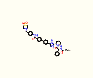 COC(=O)N[C@H](C(=O)N1CCCC[C@H]1c1ncc(-c2ccc(-c3ccc(C(=O)Nc4ccc(CN5CCS(=O)(=O)CC5)cc4)cc3)cc2)[nH]1)c1ccccc1